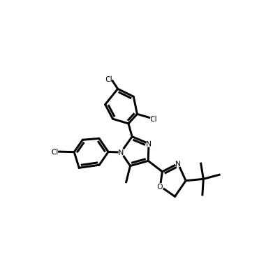 Cc1c(C2=NC(C(C)(C)C)CO2)nc(-c2ccc(Cl)cc2Cl)n1-c1ccc(Cl)cc1